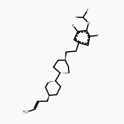 C/C=C/C[C@H]1CC[C@H]([C@H]2CC[C@H](CCc3cc(F)c(OC(F)F)c(F)c3)CC2)CC1